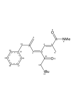 C=C(/C=C(\C=C(/C)C(=O)NC)C(=O)CC(C)(C)C)Cc1ccccc1